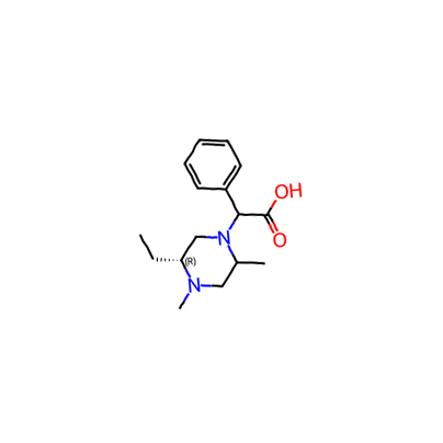 CC[C@@H]1CN(C(C(=O)O)c2ccccc2)C(C)CN1C